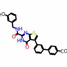 COc1cccc(CNC(=O)c2nc3scc(-c4cccc(-c5ccc(C(=O)O)cc5)c4)c3c(=O)[nH]2)c1